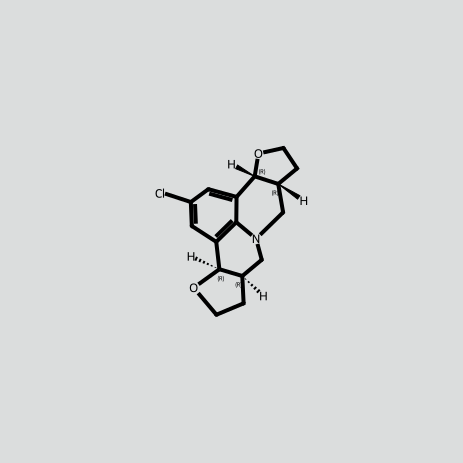 Clc1cc2c3c(c1)[C@@H]1OCC[C@@H]1CN3C[C@H]1CCO[C@@H]21